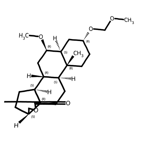 COCO[C@@H]1CC[C@@]2(C)[C@H](C1)[C@H](OC)C[C@@H]1[C@@H]2CC[C@]23C(=O)OC[C@H]2CC[C@@H]13